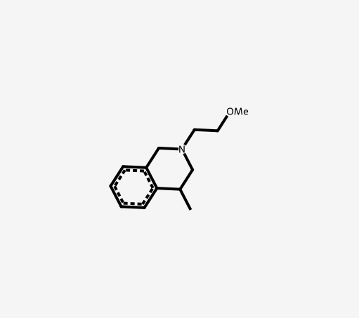 COCCN1Cc2ccccc2C(C)C1